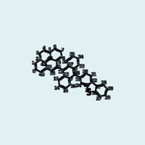 c1cc2ccc3cccc4c(-c5c6ccccc6c(-c6ccc7c(c6)sc6ccccc67)c6ccccc56)cc(c1)c2c34